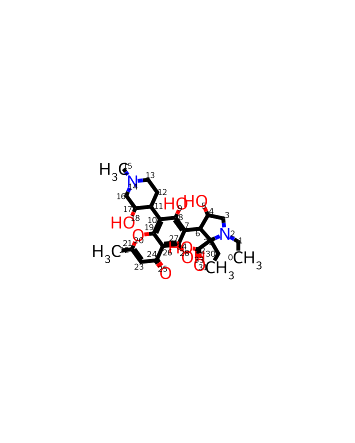 CCN1CC(O)C(c2c(O)c(C3CCN(C)CC3O)c3oc(C)cc(=O)c3c2O)C1(CC)C(=O)O